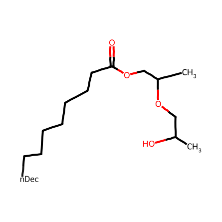 CCCCCCCCCCCCCCCCCC(=O)OCC(C)OCC(C)O